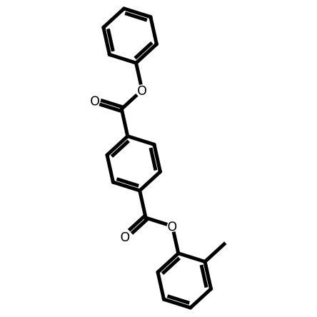 Cc1ccccc1OC(=O)c1ccc(C(=O)Oc2ccccc2)cc1